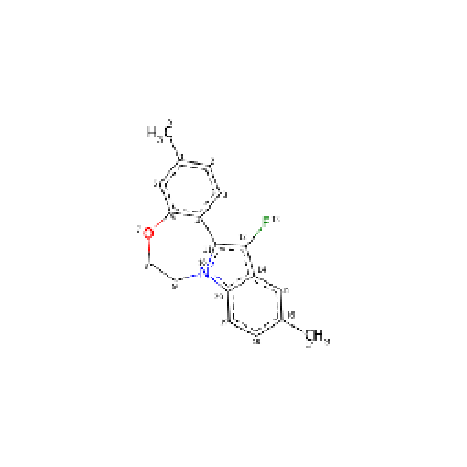 Cc1ccc2c(c1)OCCn1c-2c(F)c2cc(C)ccc21